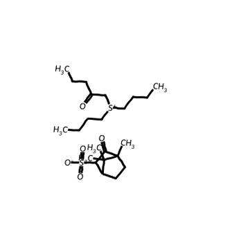 CC12CCC(C(S(=O)(=O)[O-])C1=O)C2(C)C.CCCC[S+](CCCC)CC(=O)CCC